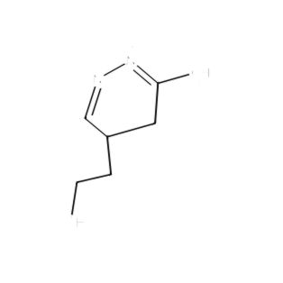 CCCC1C=NN=C(C)C1